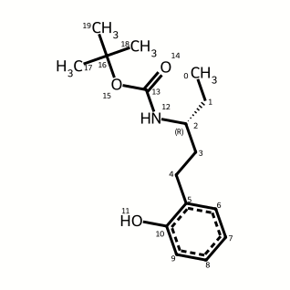 CC[C@H](CCc1ccccc1O)NC(=O)OC(C)(C)C